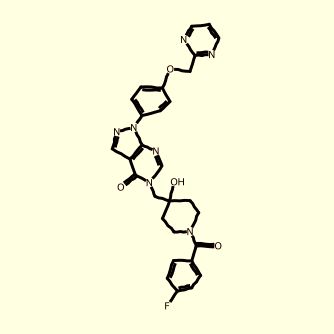 O=C(c1ccc(F)cc1)N1CCC(O)(Cn2cnc3c(cnn3-c3ccc(OCc4ncccn4)cc3)c2=O)CC1